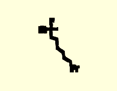 CCC(C)(F)CCCCCCC(C)C